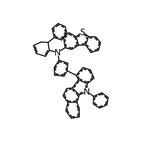 C1=CCC(c2ccccc2)C(N(c2cccc(-c3cccc4c3c3ccc5ccccc5c3n4-c3ccccc3)c2)c2ccc3sc4ccccc4c3c2)=C1